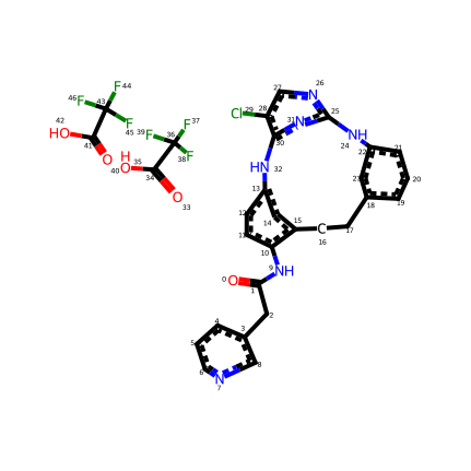 O=C(Cc1cccnc1)Nc1ccc2cc1CCc1cccc(c1)Nc1ncc(Cl)c(n1)N2.O=C(O)C(F)(F)F.O=C(O)C(F)(F)F